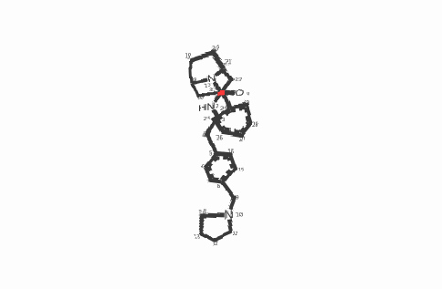 O=C(NCCc1ccc(CN2CCCC2)cc1)N1C2CCC1CC(c1ccccc1)C2